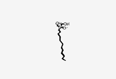 CCCCCCCCCCCC[N+]([O-])(CO)CO